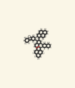 c1ccc2cc(-c3ccc4ccc5cccc6ccc3c4c56)c(-c3cc(-c4ccc5ccc6cccc7ccc4c5c67)c(-c4ccc5oc6ccccc6c5c4)c4ccccc34)cc2c1